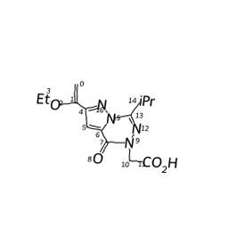 C=C(OCC)c1cc2c(=O)n(CC(=O)O)nc(C(C)C)n2n1